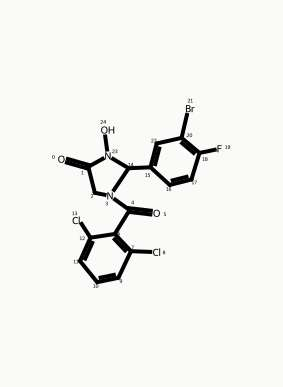 O=C1CN(C(=O)c2c(Cl)cccc2Cl)C(c2ccc(F)c(Br)c2)N1O